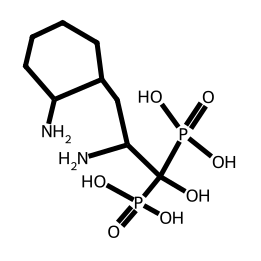 NC1CCCCC1CC(N)C(O)(P(=O)(O)O)P(=O)(O)O